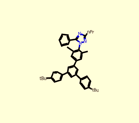 CCCc1nc(-c2ccccc2)n(-c2c(C)cc(-c3cc(-c4ccc(C(C)(C)C)cc4)cc(-c4ccc(C(C)(C)C)cc4)c3)cc2C)n1